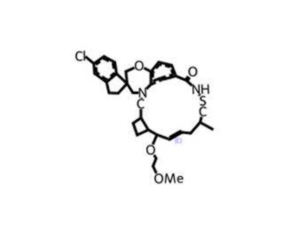 COCCOC1/C=C/CC(C)CSNC(=O)c2ccc3c(c2)N(CC2CCC21)CC1(CCc2cc(Cl)ccc21)CO3